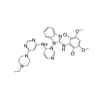 CCN1CCN(c2cc(NC3C=CN=CN3n3c(Nc4c(Cl)c(OC)cc(OC)c4Cl)nc4ccccc43)ncn2)CC1